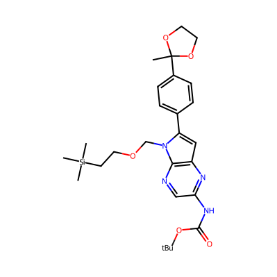 CC(C)(C)OC(=O)Nc1cnc2c(cc(-c3ccc(C4(C)OCCO4)cc3)n2COCC[Si](C)(C)C)n1